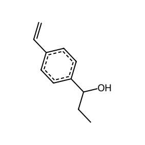 C=Cc1ccc(C(O)CC)cc1